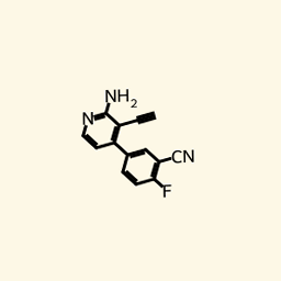 C#Cc1c(-c2ccc(F)c(C#N)c2)ccnc1N